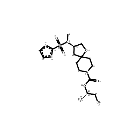 CN([C@H]1COC2(CCN(C(=O)O[C@H](CO)C(F)(F)F)CC2)C1)S(=O)(=O)c1nccs1